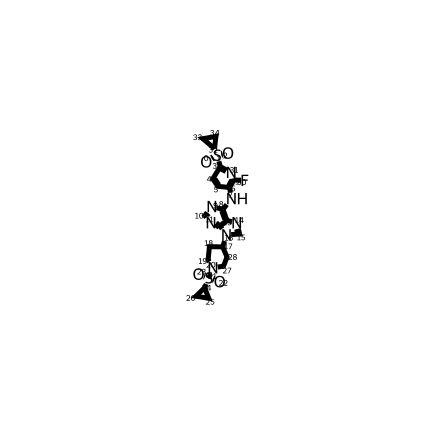 O=S(=O)(c1ccc(Nc2ncnc3c2ncn3C2CCN(S(=O)(=O)C3CC3)CC2)c(F)n1)C1CC1